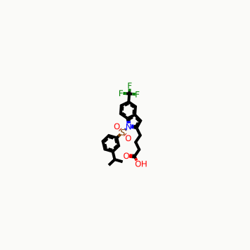 CC(C)c1cccc(S(=O)(=O)n2c(CCCC(=O)O)cc3cc(C(F)(F)F)ccc32)c1